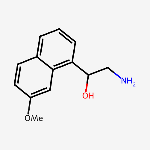 COc1ccc2cccc(C(O)CN)c2c1